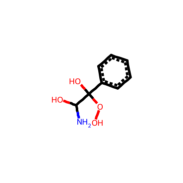 NC(O)C(O)(OO)c1ccccc1